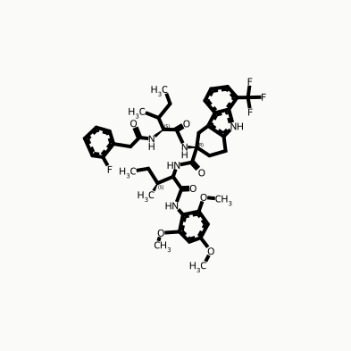 CCC(C)[C@H](NC(=O)Cc1ccccc1F)C(=O)N[C@]1(C(=O)NC(C(=O)Nc2c(OC)cc(OC)cc2OC)[C@@H](C)CC)CCc2[nH]c3c(C(F)(F)F)cccc3c2C1